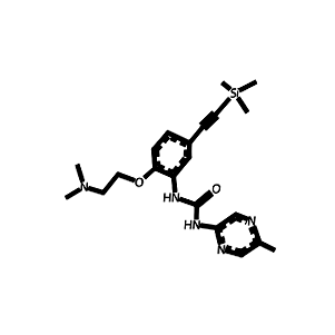 Cc1cnc(NC(=O)Nc2cc(C#C[Si](C)(C)C)ccc2OCCN(C)C)cn1